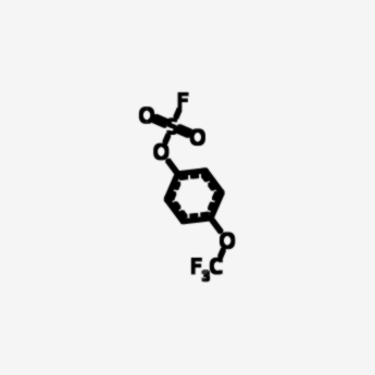 O=S(=O)(F)Oc1ccc(OC(F)(F)F)cc1